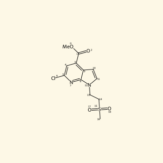 COC(=O)c1cc(Cl)nc2c1ccn2CCS(C)(=O)=O